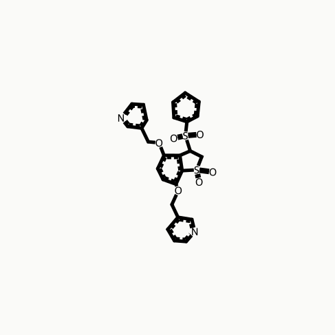 O=S1(=O)CC(S(=O)(=O)c2ccccc2)c2c(OCc3cccnc3)ccc(OCc3cccnc3)c21